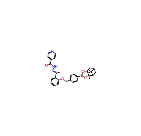 C/C(=N\NC(=O)c1ccncc1)c1ccccc1OCc1ccc(B2OC3CC4CC(C4(C)C)C3(C)O2)cc1